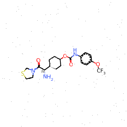 N[C@H](C(=O)N1CCSC1)[C@H]1CC[C@H](OC(=O)Nc2ccc(OC(F)(F)F)cc2)CC1